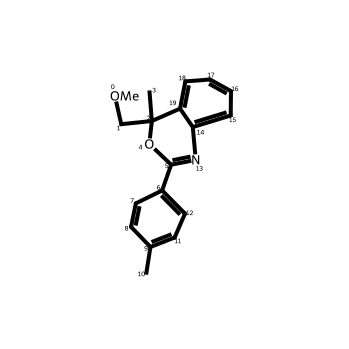 COCC1(C)OC(c2ccc(C)cc2)=Nc2ccccc21